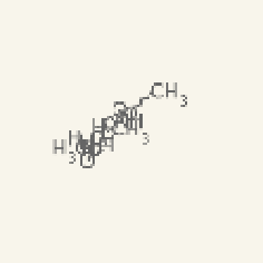 CCCCCCOC(=O)N[C@H]1CC[C@H]2[C@@H]3CC[C@H]4N(C)C(=O)C=C[C@]4(C)[C@H]3CC[C@]12C